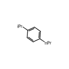 C[CH]Cc1ccc(C(C)C)cc1